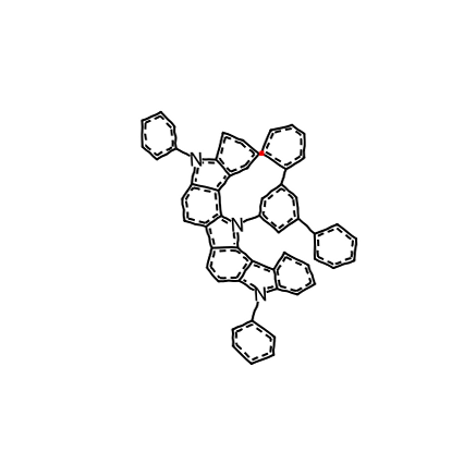 c1ccc(-c2cc(-c3ccccc3)cc(-n3c4c(ccc5c4c4ccccc4n5-c4ccccc4)c4ccc5c(c6ccccc6n5-c5ccccc5)c43)c2)cc1